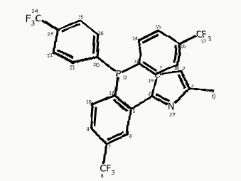 Cc1coc(-c2cc(C(F)(F)F)ccc2P(c2ccc(C(F)(F)F)cc2)c2ccc(C(F)(F)F)cc2)n1